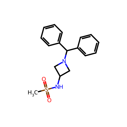 CS(=O)(=O)NC1CN(C(c2ccccc2)c2ccccc2)C1